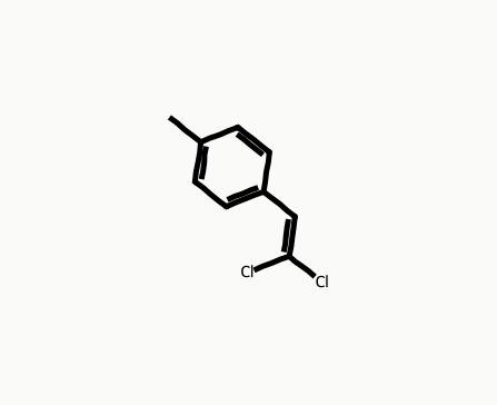 Cc1ccc(C=C(Cl)Cl)cc1